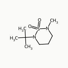 CN1CCCN(C(C)(C)C)S1(=O)=O